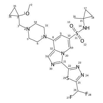 COC1(CN2CCN(c3cc(S(=O)(=O)NC4(C)CC4)cn4c(-c5nnc(C(F)F)s5)ncc34)CC2)CC1